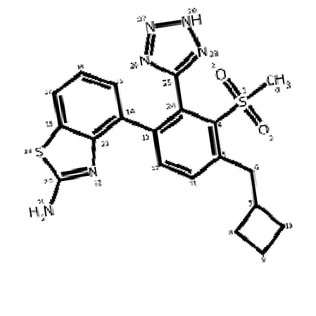 CS(=O)(=O)c1c(CC2CCC2)ccc(-c2cccc3sc(N)nc23)c1-c1nn[nH]n1